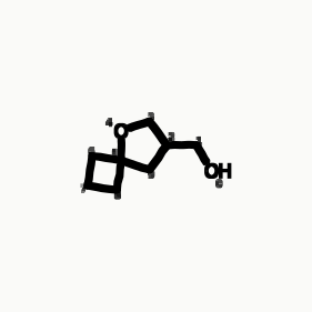 OCC1COC2(CCC2)C1